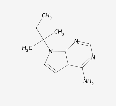 CCC(C)(C)N1C=CC2C(N)=NC=NC21